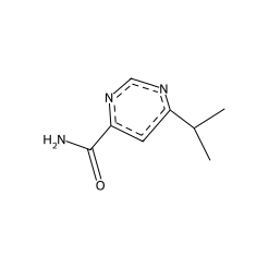 CC(C)c1cc(C(N)=O)ncn1